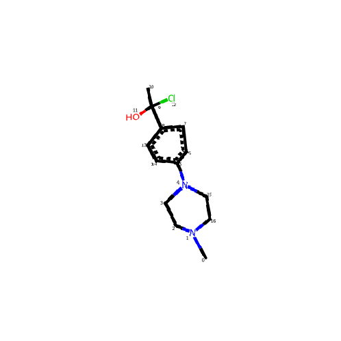 CN1CCN(c2ccc(C(C)(O)Cl)cc2)CC1